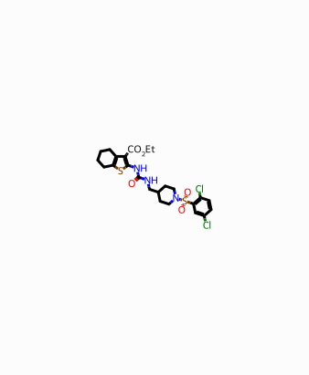 CCOC(=O)c1c(NC(=O)NCC2CCN(S(=O)(=O)c3cc(Cl)ccc3Cl)CC2)sc2c1CCCC2